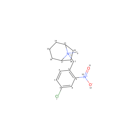 C[N+]1(Cc2ccc(Cl)cc2[N+](=O)[O-])C2C[CH]CC1CC2